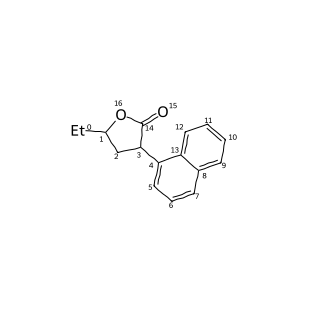 CCC1CC(c2cccc3ccccc23)C(=O)O1